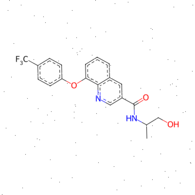 CC(CO)NC(=O)c1cnc2c(Oc3ccc(C(F)(F)F)cc3)cccc2c1